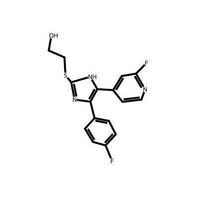 OCCSc1nc(-c2ccc(F)cc2)c(-c2ccnc(F)c2)[nH]1